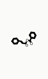 O=C(C=Cc1ccccc1)OC(=O)c1ccccc1